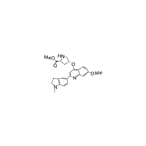 COC(=O)[C@@H]1C[C@@H](Oc2cc(-c3ccc4c(c3)CCN4C)nc3cc(OC)ccc23)CN1